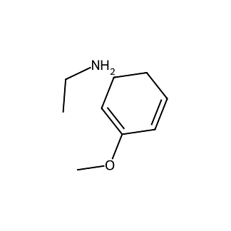 CCN.COC1=CCCC=C1